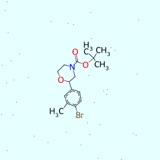 Cc1cc(C2CN(C(=O)OC(C)(C)C)CCO2)ccc1Br